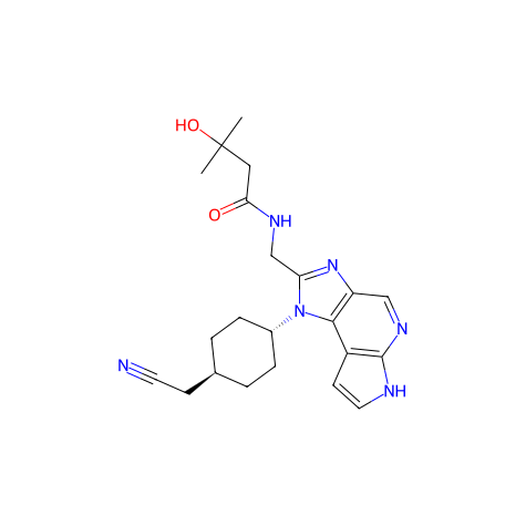 CC(C)(O)CC(=O)NCc1nc2cnc3[nH]ccc3c2n1[C@H]1CC[C@H](CC#N)CC1